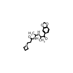 CC(NC(=O)CCN1CCC1)NC(C)C(=O)c1ccc2c(c1)OCO2